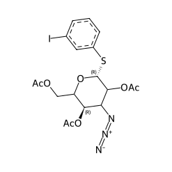 CC(=O)OCC1O[C@H](Sc2cccc(I)c2)C(OC(C)=O)C(N=[N+]=[N-])[C@H]1OC(C)=O